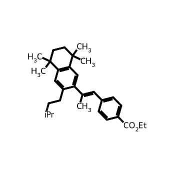 CCOC(=O)c1ccc(C=C(C)c2cc3c(cc2CCC(C)C)C(C)(C)CCC3(C)C)cc1